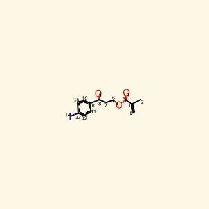 C=C(C)C(=O)OCCC(=O)c1ccc(I)cc1